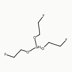 FCCO[SiH](OCCF)OCCF